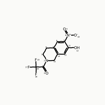 O=C(N1CCc2cc([N+](=O)[O-])c(O)cc2C1)C(F)(F)F